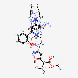 CCOC(=O)C(c1cc(N2CCC(c3cnc(N4C5CCC4CN(c4cc(-c6ccccc6O)nnc4N)C5)nc3)CC2)no1)C(C)C